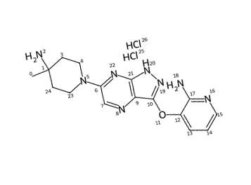 CC1(N)CCN(c2cnc3c(Oc4cccnc4N)n[nH]c3n2)CC1.Cl.Cl